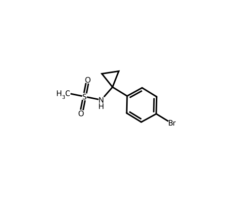 CS(=O)(=O)NC1(c2ccc(Br)cc2)CC1